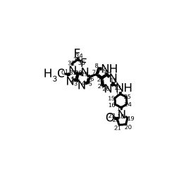 Cc1nc2ncc(-c3c[nH]c4nc(NC5CCC(N6CCCC6=O)CC5)ncc34)nc2n1CC(F)F